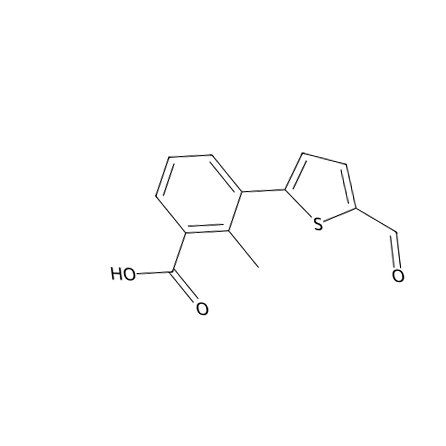 Cc1c(C(=O)O)cccc1-c1ccc(C=O)s1